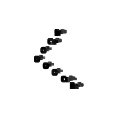 [Ba+2].[Ca+2].[Cu+2].[O-2].[O-2].[O-2].[O-2].[Sr+2]